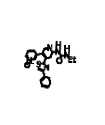 CCNC(=O)Nc1cc(-c2nc(-c3ccccc3)cs2)c(-c2ccc[n+]([O-])c2)cn1